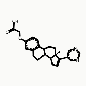 C[C@]12CCC3c4ccc(OCC(=O)O)cc4CCC3C1CC=C2c1cncnc1